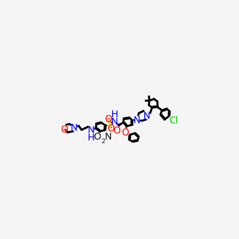 CC1(C)CCC(c2ccc(Cl)cc2)=C(CN2CCN(c3ccc(C(=O)NS(=O)(=O)c4ccc(NCCCN5CCOCC5)c([N+](=O)[O-])c4)c(Oc4ccccc4)c3)CC2)C1